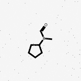 CB([C]=O)C1CCCC1